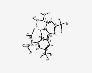 CC(C)P(C1=CC(C(C)(C)C)=CC2=C3C=C(C(C)(C)C)C=C(P(C(C)C)C(C)C)N3CN12)C(C)C